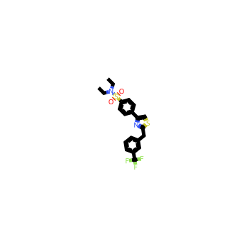 CCN(CC)S(=O)(=O)c1ccc(-c2csc(Cc3cccc(C(F)(F)F)c3)n2)cc1